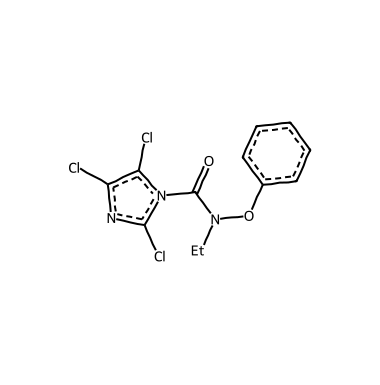 CCN(Oc1ccccc1)C(=O)n1c(Cl)nc(Cl)c1Cl